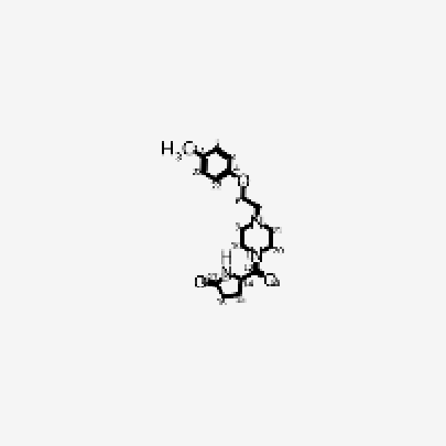 Cc1ccc(OCCN2CCN(C(=O)C3CCC(=O)N3)CC2)cc1